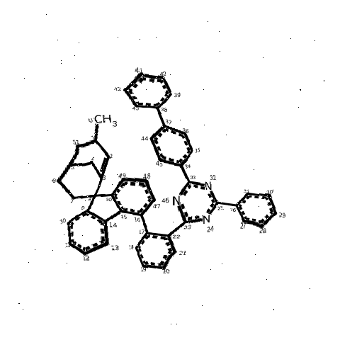 CC1C=C2CC(CCC23c2ccccc2-c2c(-c4ccccc4-c4nc(-c5ccccc5)nc(-c5ccc(-c6ccccc6)cc5)n4)cccc23)C1